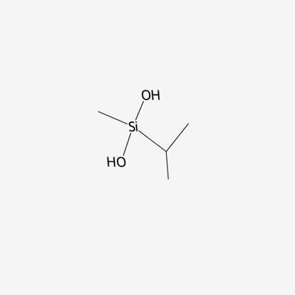 CC(C)[Si](C)(O)O